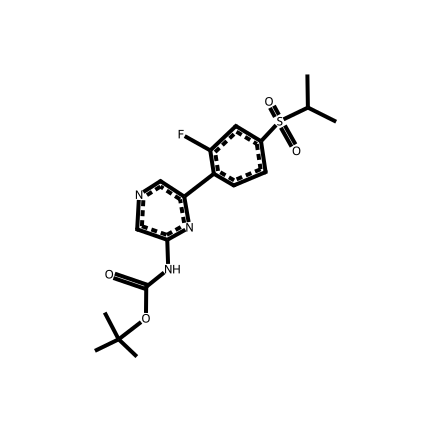 CC(C)S(=O)(=O)c1ccc(-c2cncc(NC(=O)OC(C)(C)C)n2)c(F)c1